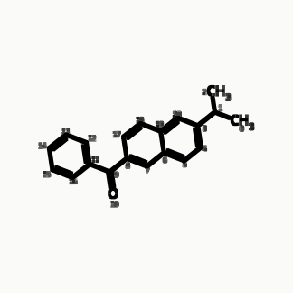 CC(C)c1ccc2cc(C(=O)c3ccccc3)ccc2c1